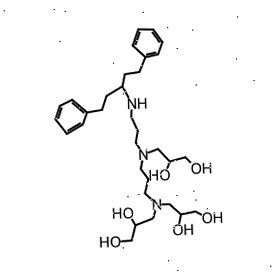 OCC(O)CN(CCCNC(CCc1ccccc1)CCc1ccccc1)CCCN(CC(O)CO)CC(O)CO